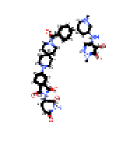 CN1C[C@H](Nc2cnn(C)c(=O)c2Br)C[C@H](c2ccc(C(=O)N3CCC4(CC3)CCN(c3ccc5c(c3)C(=O)N(C3CCC(=O)NC3=O)C5=O)CC4)cc2)C1